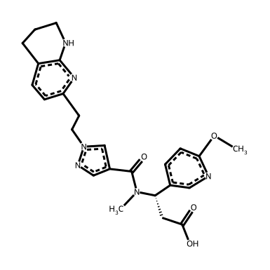 COc1ccc([C@H](CC(=O)O)N(C)C(=O)c2cnn(CCc3ccc4c(n3)NCCC4)c2)cn1